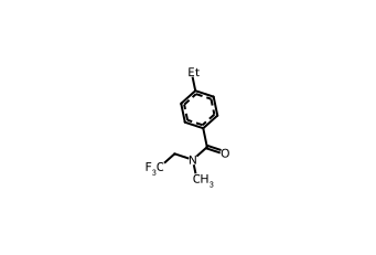 CCc1ccc(C(=O)N(C)CC(F)(F)F)cc1